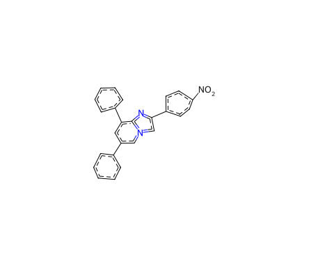 O=[N+]([O-])c1ccc(-c2cn3cc(-c4ccccc4)cc(-c4ccccc4)c3n2)cc1